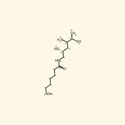 CCCCCCCCCCCCCCCC(=O)NC[C@H](O)CC(N)[C@@H](C)O